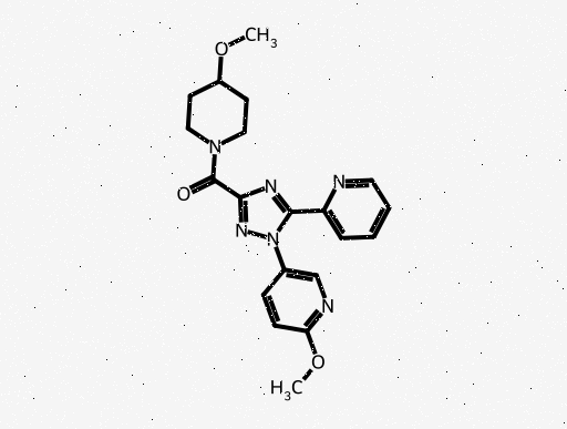 COc1ccc(-n2nc(C(=O)N3CCC(OC)CC3)nc2-c2ccccn2)cn1